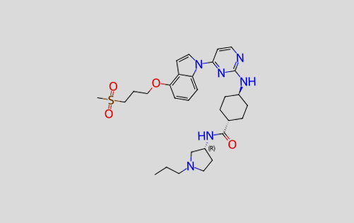 CCCN1CC[C@@H](NC(=O)[C@H]2CC[C@H](Nc3nccc(-n4ccc5c(OCCCS(C)(=O)=O)cccc54)n3)CC2)C1